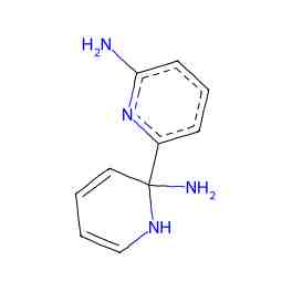 Nc1cccc(C2(N)C=CC=CN2)n1